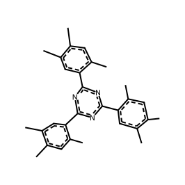 Cc1cc(C)c(-c2nc(-c3cc(C)c(C)cc3C)nc(-c3cc(C)c(C)cc3C)n2)cc1C